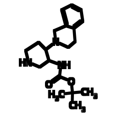 CC(C)(C)OC(=O)NC1CNCCC1N1CCc2ccccc2C1